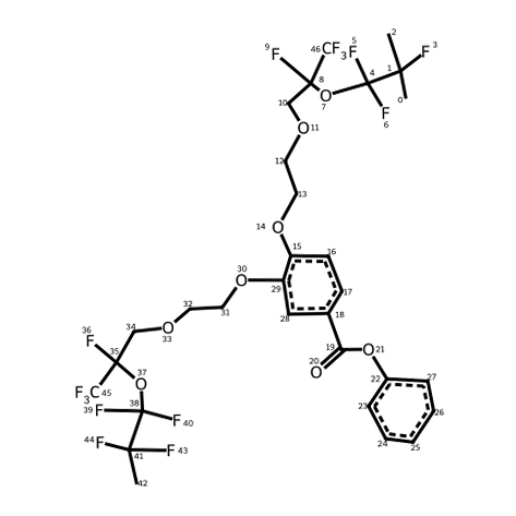 CC(C)(F)C(F)(F)OC(F)(COCCOc1ccc(C(=O)Oc2ccccc2)cc1OCCOCC(F)(OC(F)(F)C(C)(F)F)C(F)(F)F)C(F)(F)F